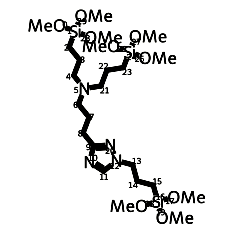 CO[Si](CCCN(CCCc1ncn(CCC[Si](OC)(OC)OC)n1)CCC[Si](OC)(OC)OC)(OC)OC